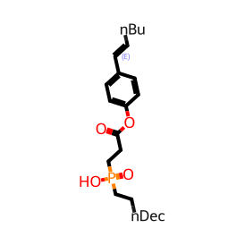 CCCC/C=C/c1ccc(OC(=O)CCP(=O)(O)CCCCCCCCCCCC)cc1